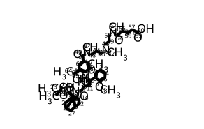 COc1cccc(OC)c1-c1cc(C(=O)NC2(C(=O)OC(C)(C)C)C3CC4CC(C3)CC2C4)nn1-c1ccc(C(=O)N(C)CCCN(C)CCCN(C)C(=O)CCCC(=O)O)cc1C(C)C